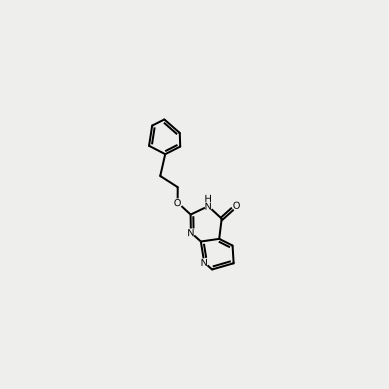 O=c1[nH]c(OCCc2ccccc2)nc2ncccc12